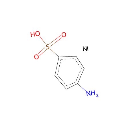 Nc1ccc(S(=O)(=O)O)cc1.[Ni]